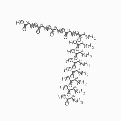 NCC(=O)O.NCC(=O)O.NCC(=O)O.NCC(=O)O.NCC(=O)O.NCC(=O)O.NCC(=O)O.NCC(=O)O.NCC(=O)O.NCC(=O)O.NCC(=O)O.NCC(=O)O